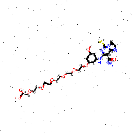 COc1cc(Nc2nc(SC)n3ccnc3c2C(N)=O)cc(OCCOCCOCCOCCOCCOCC(=O)O)c1